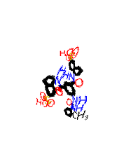 Cc1ccccc1NC(=O)Nc1cc(C(=O)Nc2cccc3cc(S(=O)(=O)O)ccc23)cc(C(=O)Nc2cccc3cc(S(=O)(=O)O)ccc23)c1